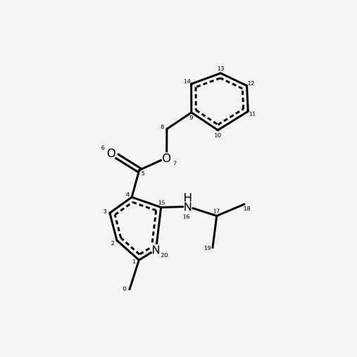 Cc1ccc(C(=O)OCc2ccccc2)c(NC(C)C)n1